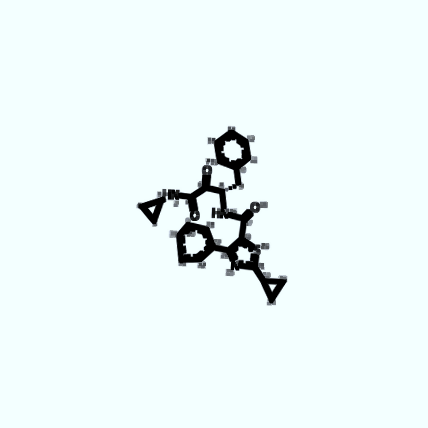 O=C(NC1CC1)C(=O)[C@H](Cc1ccccc1)NC(=O)c1sc(C2CC2)nc1-c1ccccc1